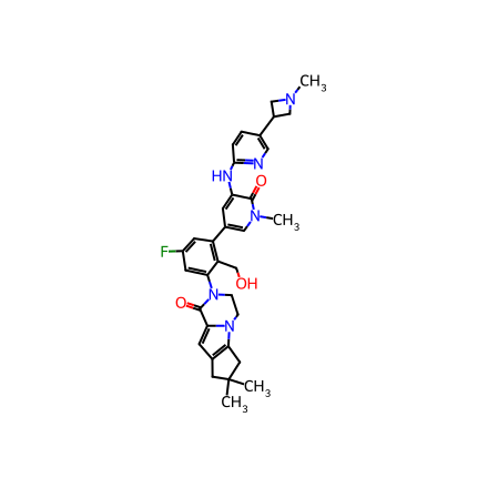 CN1CC(c2ccc(Nc3cc(-c4cc(F)cc(N5CCn6c(cc7c6CC(C)(C)C7)C5=O)c4CO)cn(C)c3=O)nc2)C1